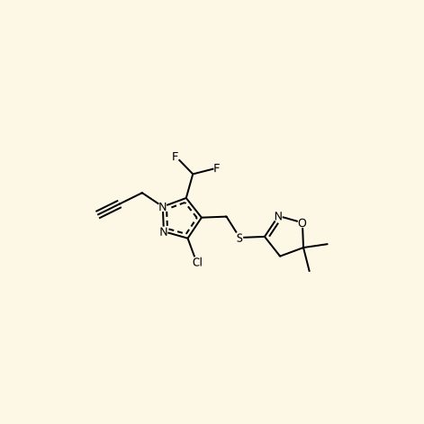 C#CCn1nc(Cl)c(CSC2=NOC(C)(C)C2)c1C(F)F